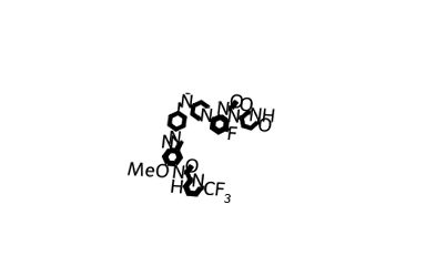 COc1cc2nn([C@H]3CC[C@H](CN(C)C4CCN(c5ccc(F)c6c5n(C)c(=O)n6C5CCC(=O)NC5=O)CC4)CC3)cc2cc1NC(=O)c1cccc(C(F)(F)F)n1